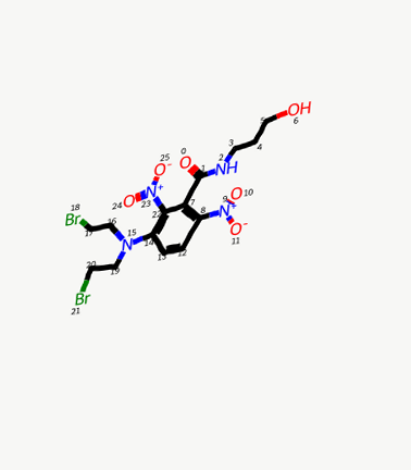 O=C(NCCCO)c1c([N+](=O)[O-])ccc(N(CCBr)CCBr)c1[N+](=O)[O-]